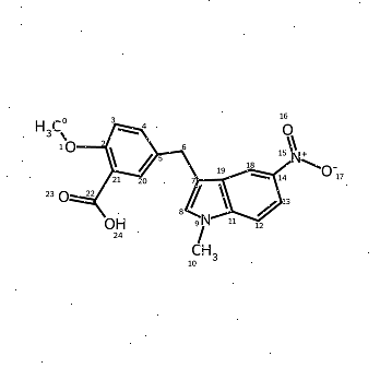 COc1ccc(Cc2cn(C)c3ccc([N+](=O)[O-])cc23)cc1C(=O)O